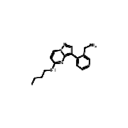 CCCCNc1ccn2ncc(-c3ccccc3CN)c2n1